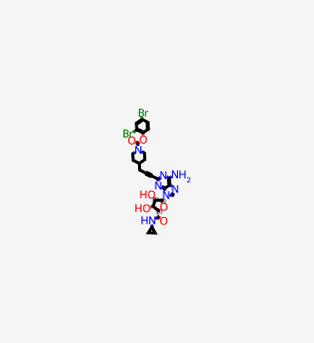 Nc1nc(C#CCC2CCN(C(=O)Oc3ccc(Br)cc3Br)CC2)nc2c1ncn2[C@@H]1O[C@H](C(=O)NC2CC2)C(O)[C@@H]1O